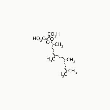 C=C(CCC=C(C)CCC=C(C)CCC=C(C)C)C1O[C@H](C(=O)O)[C@@H](C(=O)O)O1